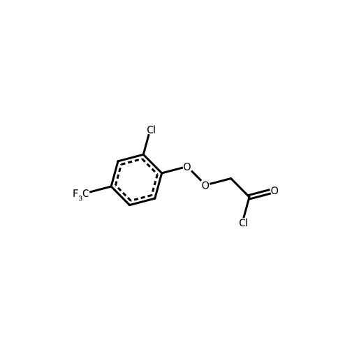 O=C(Cl)COOc1ccc(C(F)(F)F)cc1Cl